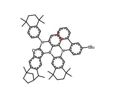 Cc1cc2c3c(c1)N(c1ccc4c(c1)C(C)(C)CCC4(C)C)c1oc4cc5c(cc4c1B3c1cc3c(cc1N2c1ccc(C(C)(C)C)cc1-c1ccccc1)C(C)(C)CCC3(C)C)C(C)C1CCC5(C)C1